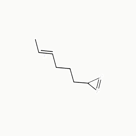 C/C=C/CCCC1P=P1